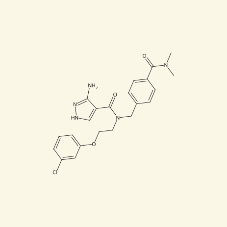 CN(C)C(=O)c1ccc(CN(CCOc2cccc(Cl)c2)C(=O)c2c[nH]nc2N)cc1